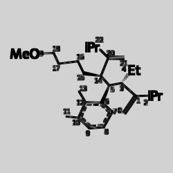 C=C(C(C)C)[C@@H](CC)[C@@H](c1cccc(C)c1C)[C@@H](CCCCOC)C(=C)C(C)C